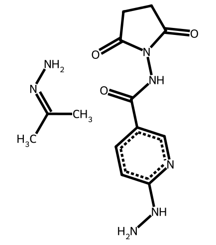 CC(C)=NN.NNc1ccc(C(=O)NN2C(=O)CCC2=O)cn1